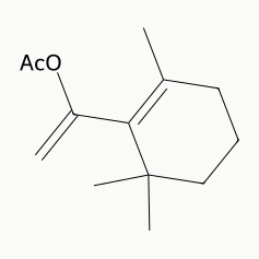 C=C(OC(C)=O)C1=C(C)CCCC1(C)C